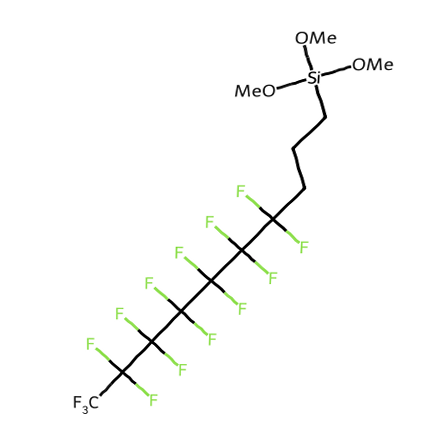 CO[Si](CCCC(F)(F)C(F)(F)C(F)(F)C(F)(F)C(F)(F)C(F)(F)C(F)(F)F)(OC)OC